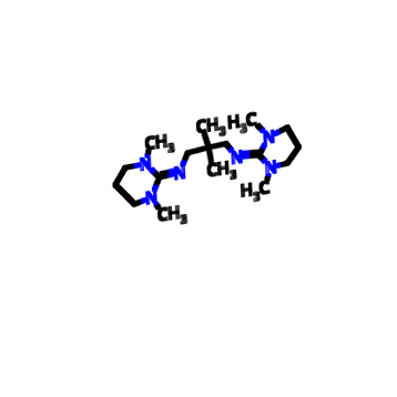 CN1CCCN(C)C1=NCC(C)(C)CN=C1N(C)CCCN1C